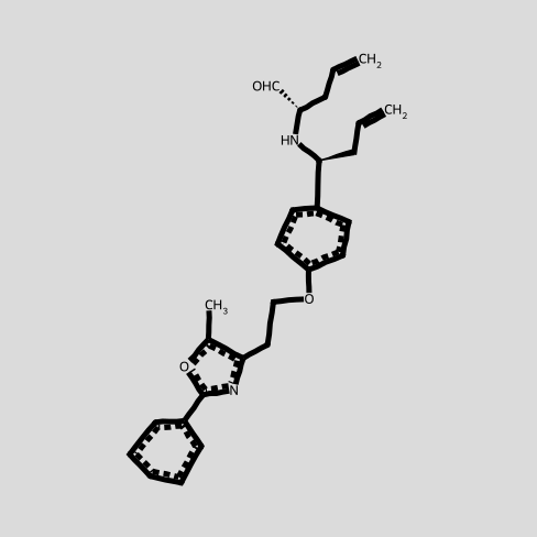 C=CC[C@@H](C=O)N[C@@H](CC=C)c1ccc(OCCc2nc(-c3ccccc3)oc2C)cc1